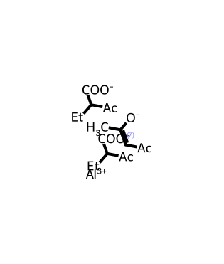 CC(=O)/C=C(/C)[O-].CCC(C(C)=O)C(=O)[O-].CCC(C(C)=O)C(=O)[O-].[Al+3]